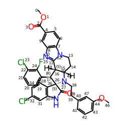 COC(=O)c1ccc2c(c1)nc1n2CC[C@H]2[C@@H]1[C@H](c1cccc(Cl)c1F)[C@]1(C(=O)Nc3cc(Cl)ccc31)N2CCc1cccc(OC)c1